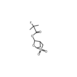 CC(C)(F)C(=O)OC1OC2CC1CS2(=O)=O